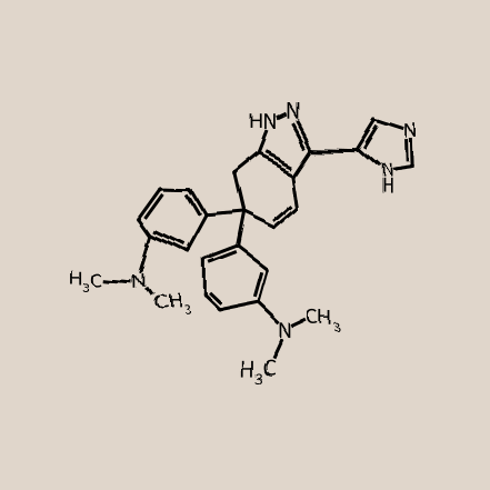 CN(C)c1cccc(C2(c3cccc(N(C)C)c3)C=Cc3c(-c4cnc[nH]4)n[nH]c3C2)c1